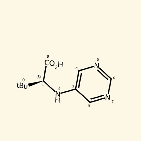 CC(C)(C)[C@H](Nc1cncnc1)C(=O)O